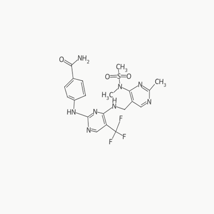 Cc1ncc(CNc2nc(Nc3ccc(C(N)=O)cc3)ncc2C(F)(F)F)c(N(C)S(C)(=O)=O)n1